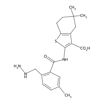 Cc1ccc(CNN)c(C(=O)Nc2sc3c(c2C(=O)O)CC(C)(C)CC3)c1